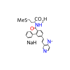 CSCCC(NC(=O)c1ccc(C=Cc2cnccc2N(C)C)cc1-c1ccccc1)C(=O)O.[NaH]